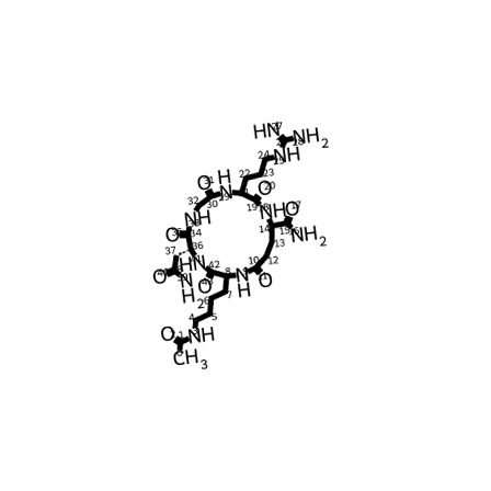 CC(=O)NCCCCC1NC(=O)CCC(C(N)=O)NC(=O)C(CCCNC(=N)N)NC(=O)CNC(=O)[C@@H](CC(N)=O)NC1=O